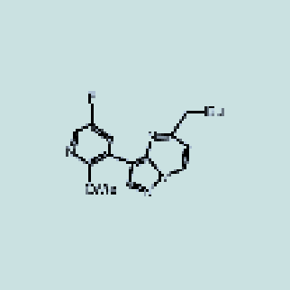 [CH2]CC(C)Cc1ccn2ncc(-c3cc(F)cnc3OC)c2n1